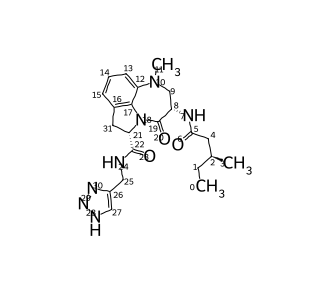 CC[C@H](C)CC(=O)N[C@H]1CN(C)c2cccc3c2N(C1=O)[C@H](C(=O)NCc1c[nH]nn1)C3